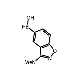 CNc1noc2ccc(BO)cc12